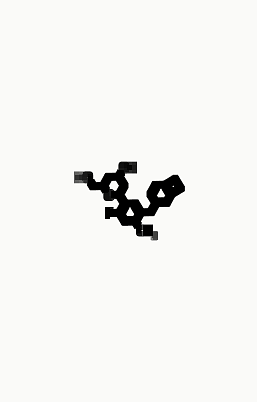 Cc1cc(F)c(C2CC(O)CC(CO)O2)cc1Cc1ccc2c(c1)CC2